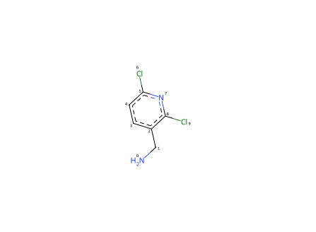 NCc1ccc(Cl)nc1Cl